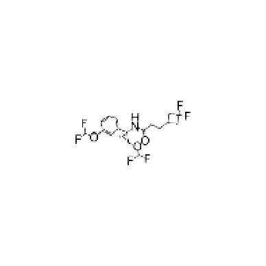 O=C(CCC1CC(F)(F)C1)N[C@@H](COC(F)F)c1cccc(OC(F)F)c1